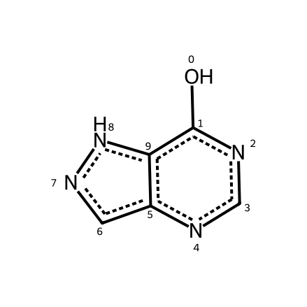 Oc1ncnc2cn[nH]c12